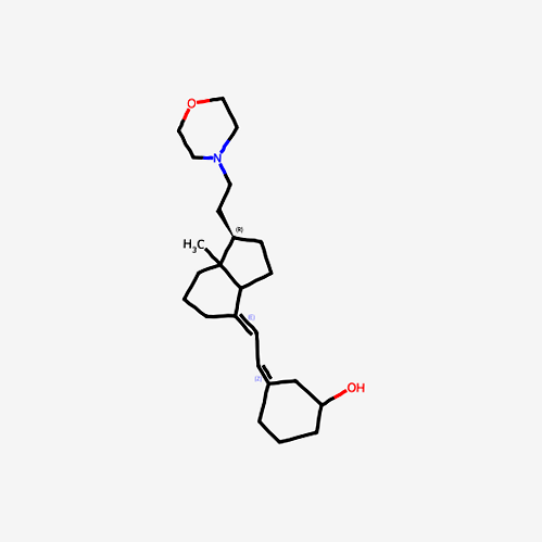 CC12CCC/C(=C\C=C3\CCCC(O)C3)C1CC[C@@H]2CCN1CCOCC1